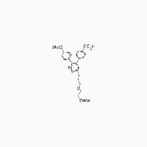 COCCOCCCc1cnc(-c2ccc(OC)cc2)c(-c2ccc(C(=O)O)cc2)c1